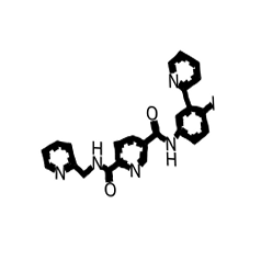 O=C(Nc1ccc(I)c(-c2ccccn2)c1)c1ccc(C(=O)NCc2ccccn2)nc1